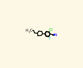 CCCC1CCC(c2cc(F)c(C#N)c(Cl)c2)CC1